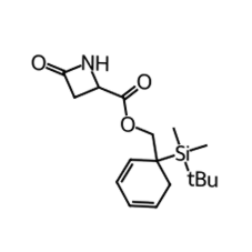 CC(C)(C)[Si](C)(C)C1(COC(=O)C2CC(=O)N2)C=CC=CC1